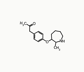 CC(=O)Cc1ccc(OC2CCCCNC2C)cc1